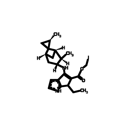 CCC1C(C(=O)OCI)=C(N[C@@H]2C[C@@H]3C[C@H]([C@H]2C)C32C[C@@H]2C)c2cc[nH]c21